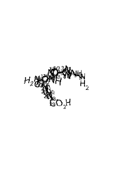 NCCCNc1ncc(-c2ccnc(Nc3ccc(C(N)=O)c(CN4CCN(CC(=O)O)CC4)c3)c2)cn1